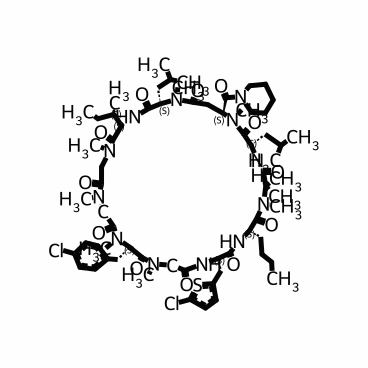 CCCC[C@@H]1NC(=O)[C@H](Cc2ccc(Cl)s2)NC(=O)CN(C)C(=O)[C@H](Cc2ccc(Cl)cc2)N(C)C(=O)CN(C)C(=O)CN(C)C(=O)[C@H]([C@@H](C)CC)NC(=O)[C@H](CC(C)C)N(C)C(=O)C[C@@H](C(=O)N2CCCCC2)N(C)C(=O)[C@H](CC(C)C)NC(=O)C(C)(C)N(C)C1=O